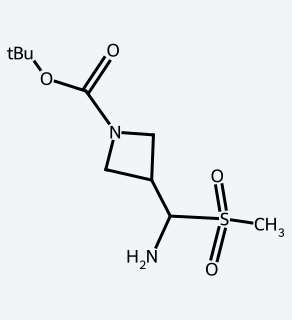 CC(C)(C)OC(=O)N1CC(C(N)S(C)(=O)=O)C1